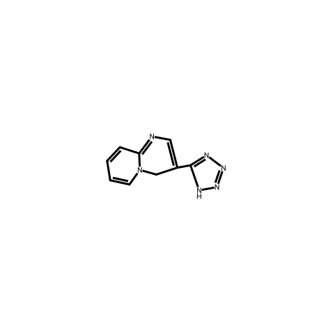 C1=CC2=NC=C(c3nnn[nH]3)CN2C=C1